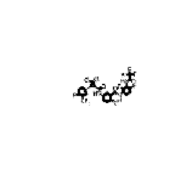 O=C(Nc1ccc(F)c(NC(=O)C(F)(F)Br)c1F)c1cc(NC(=O)[C@H]2[C@H](c3ccc(F)c(C(F)(F)F)c3)C2(Cl)Cl)ccc1Cl